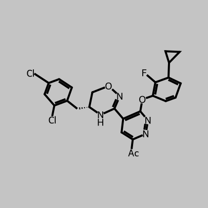 CC(=O)c1cc(C2=NOC[C@@H](Cc3ccc(Cl)cc3Cl)N2)c(Oc2cccc(C3CC3)c2F)nn1